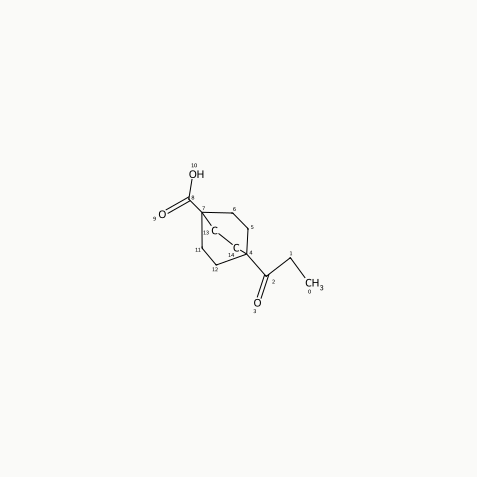 CCC(=O)C12CCC(C(=O)O)(CC1)CC2